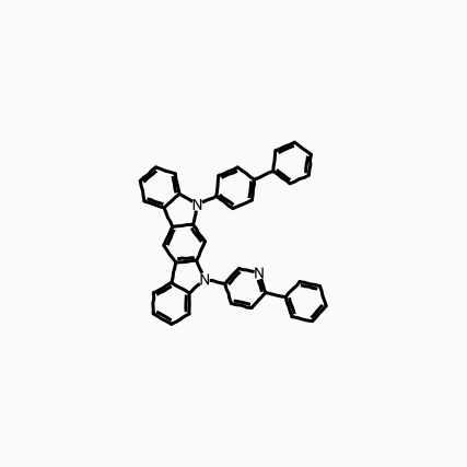 c1ccc(-c2ccc(-n3c4ccccc4c4cc5c6ccccc6n(-c6ccc(-c7ccccc7)nc6)c5cc43)cc2)cc1